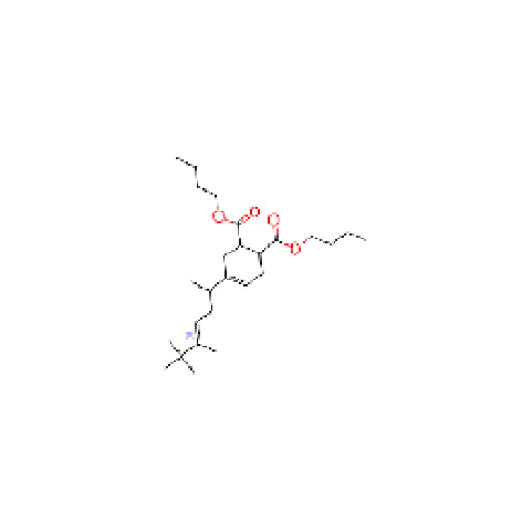 CCCCOC(=O)C1CC=C(C(C)C/C=C(\C)C(C)(C)C)CC1C(=O)OCCCC